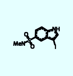 CNS(=O)(=O)c1ccc2[nH]cc(I)c2c1